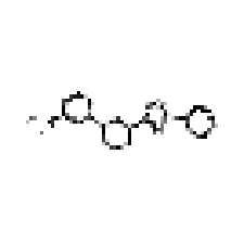 O=[N+]([O-])c1cccc(-c2cccc(-c3csc(-c4ccccc4)n3)c2)c1